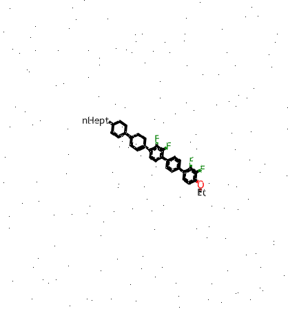 CCCCCCCC1CCC(C2CC=C(c3ccc(-c4ccc(-c5ccc(OCC)c(F)c5F)cc4)c(F)c3F)CC2)CC1